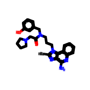 CCCCc1nc2c(N)nc3ccccc3c2n1CCCN(Cc1cccc(O)c1)C(=O)CN1CCCC1